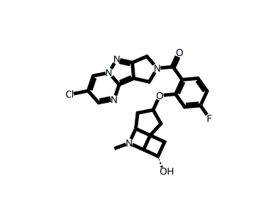 CN1C2CC(Oc3cc(F)ccc3C(=O)N3Cc4nn5cc(Cl)cnc5c4C3)CC23C[C@H](O)C13